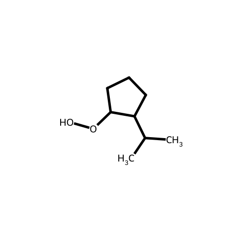 CC(C)C1CCCC1OO